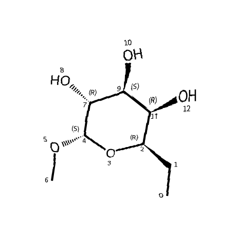 CC[C@H]1O[C@H](OC)[C@H](O)[C@@H](O)[C@H]1O